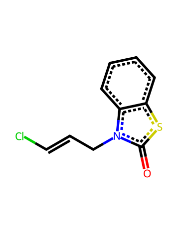 O=c1sc2ccccc2n1CC=CCl